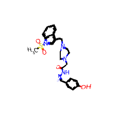 CS(=O)(=O)n1cc(CN2CCN(CC(=O)N/N=C\c3ccc(O)cc3)CC2)c2ccccc21